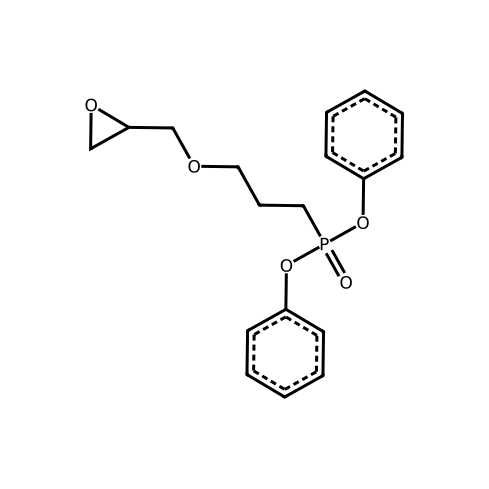 O=P(CCCOCC1CO1)(Oc1ccccc1)Oc1ccccc1